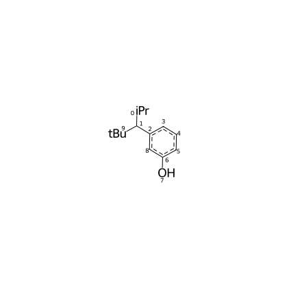 CC(C)C(c1cccc(O)c1)C(C)(C)C